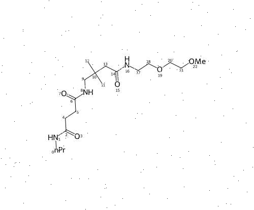 CCCNC(=O)CCC(=O)NCC(C)(C)CC(=O)NCCOCCOC